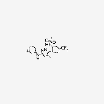 Cc1cc(N[C@@H]2CCCN(C)C2)nnc1-c1ccc(C(F)(F)F)cc1NS(C)(=O)=O